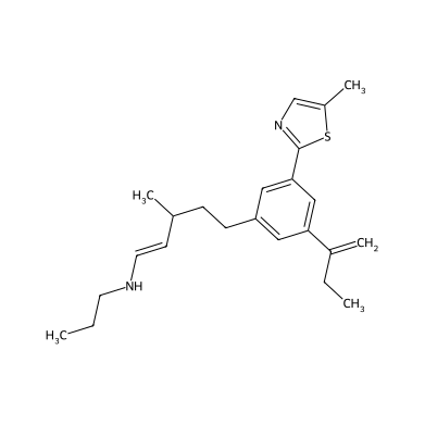 C=C(CC)c1cc(CCC(C)/C=C/NCCC)cc(-c2ncc(C)s2)c1